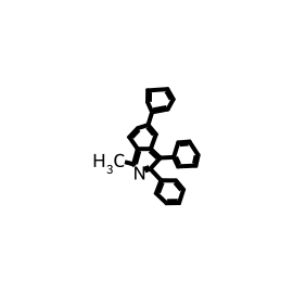 Cc1nc(-c2ccccc2)c(-c2ccccc2)c2cc(-c3ccccc3)ccc12